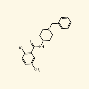 Cc1ccc(O)c(C(=S)NC2CCN(Cc3ccccc3)CC2)c1